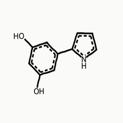 Oc1cc(O)cc(-c2ccc[nH]2)c1